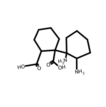 NC1CCCCC1(N)C1(C(=O)O)CCCCC1C(=O)O